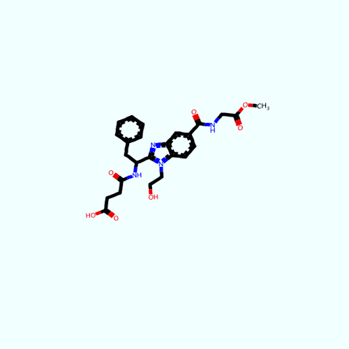 COC(=O)CNC(=O)c1ccc2c(c1)nc(C(Cc1ccccc1)NC(=O)CCC(=O)O)n2CCO